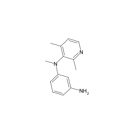 Cc1ccnc(C)c1N(C)c1cccc(N)c1